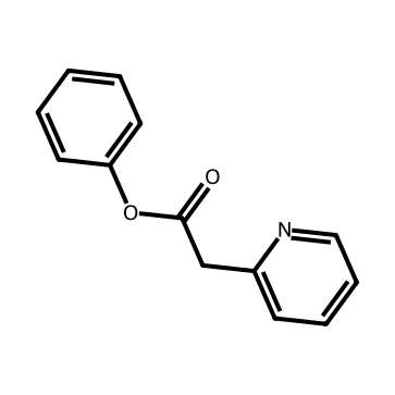 O=C(Cc1ccccn1)Oc1ccccc1